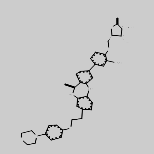 COc1cc(-c2ccc3c(c2)Nc2ccc(CCOc4ccc(N5CCOCC5)cc4)cc2NC3=O)ccc1OC[C@H]1OC(=O)[C@H](O)[C@@H]1O